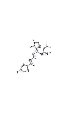 C=c1c(C)cs/c1=C(/N=C(\C)N[C@@H](C)c1ncc(F)cn1)N/C(C=C(C)C)=N/C